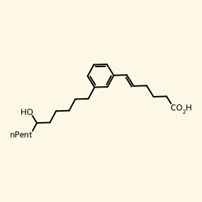 CCCCCC(O)CCCCCc1cccc(C=CCCCC(=O)O)c1